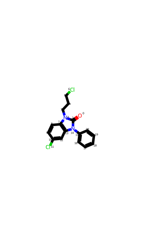 O=c1n(CCCCl)c2ccc(Cl)cc2n1-c1ccccc1